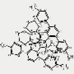 Cc1ccc(-c2ccc(-c3ccc(C)cc3)c3c2C=C(CC2CCCCC2)[CH]3[Zr]([Cl])([Cl])([CH]2C(CC3CCCCC3)=Cc3c(-c4ccc(C)cc4)ccc(-c4ccc(C)cc4)c32)[SiH](C)C)cc1